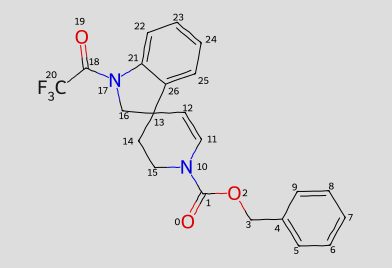 O=C(OCc1ccccc1)N1C=CC2(CC1)CN(C(=O)C(F)(F)F)c1ccccc12